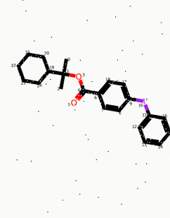 CC(C)(OC(=O)c1ccc([I+]c2ccccc2)cc1)C1CCCCC1